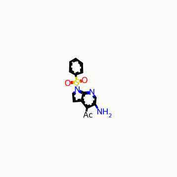 CC(=O)c1c(N)cnc2c1ccn2S(=O)(=O)c1ccccc1